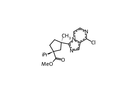 COC(=O)[C@]1(C(C)C)CC[C@@](C)(c2ncc3c(Cl)nccn23)C1